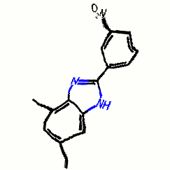 Cc1cc(C)c2nc(-c3cccc([N+](=O)[O-])c3)[nH]c2c1